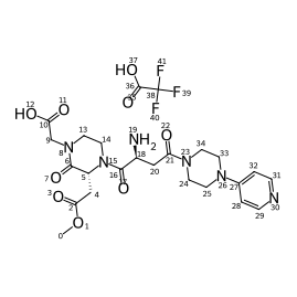 COC(=O)C[C@@H]1C(=O)N(CC(=O)O)CCN1C(=O)[C@@H](N)CC(=O)N1CCN(c2ccncc2)CC1.O=C(O)C(F)(F)F